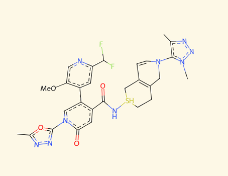 COc1cnc(C(F)F)cc1-c1cn(-c2nnc(C)o2)c(=O)cc1C(=O)N[SH]1CCC2=C(C=CN(c3c(C)nnn3C)C2)C1